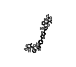 COC(=O)N[C@H](C(=O)N1CCC[C@H]1c1ncc(C2=CC3SC(c4ccc(-c5cnc([C@@H]6CCCN6C(=O)[C@@H](NC(=O)OC)C(C)C)[nH]5)cc4)=CC3S2)[nH]1)C(C)C